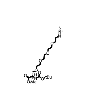 COC(=O)[C@H](COCCOCCOCCOCCN=[N+]=[N-])NC(=O)OC(C)(C)C